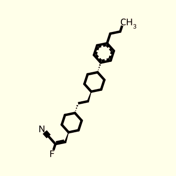 CCCc1ccc([C@H]2CC[C@H](CC[C@H]3CC[C@H](/C=C(/F)C#N)CC3)CC2)cc1